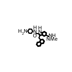 CNC(=N)c1ccc2[nH]c(C(=O)N[C@H]3CC[C@H](N)CC3)c(Cc3cccc4ccccc34)c2c1